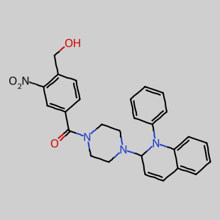 O=C(c1ccc(CO)c([N+](=O)[O-])c1)N1CCN(C2C=Cc3ccccc3N2c2ccccc2)CC1